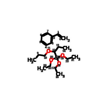 C=Cc1ccccc1.CCCOC(CC)[Si](OCC)(OCC)OCC